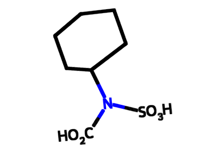 O=C(O)N(C1CCCCC1)S(=O)(=O)O